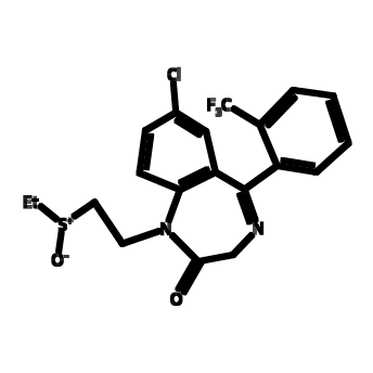 CC[S+]([O-])CCN1C(=O)CN=C(c2ccccc2C(F)(F)F)c2cc(Cl)ccc21